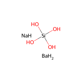 O[Si](O)(O)O.[BaH2].[NaH]